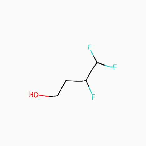 OCCC(F)C(F)F